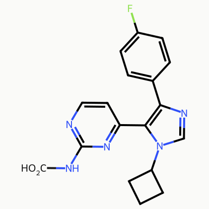 O=C(O)Nc1nccc(-c2c(-c3ccc(F)cc3)ncn2C2CCC2)n1